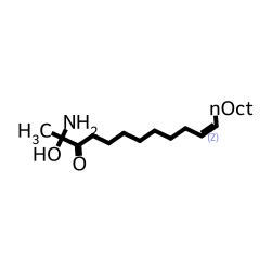 CCCCCCCC/C=C\CCCCCCCC(=O)C(C)(N)O